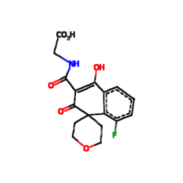 O=C(O)CNC(=O)C1=C(O)c2cccc(F)c2C2(CCOCC2)C1=O